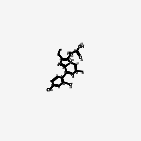 CCc1nc2c(-c3ccc(Cl)cc3Cl)nc(C)cn2c1NC(=O)O